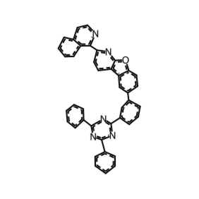 c1ccc(-c2nc(-c3ccccc3)nc(-c3cccc(-c4ccc5oc6nc(-c7nccc8ccccc78)ccc6c5c4)c3)n2)cc1